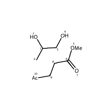 CC(O)CO.COC(=O)CCC(C)=O